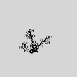 CN1CC[C@]23c4c5ccc(O)c4O[C@H]2C(OC(=O)CCNC(=O)[C@@H](O)CC(=O)O)=CC[C@@]3(OC(=O)CCNC(=O)[C@@H](O)CC(=O)O)[C@H]1C5.O=C(O)C(F)(F)F